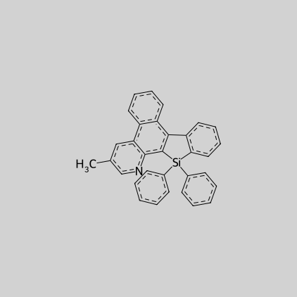 Cc1cnc2c3c(c4ccccc4c2c1)-c1ccccc1[Si]3(c1ccccc1)c1ccccc1